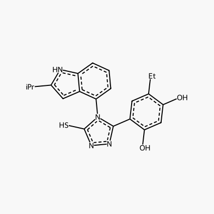 CCc1cc(-c2nnc(S)n2-c2cccc3[nH]c(C(C)C)cc23)c(O)cc1O